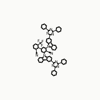 N#Cc1cccc(C(F)(F)F)c1-c1cc(-n2c3ccccc3c3cc(-c4nc(-c5ccccc5)nc(-c5ccccc5)n4)ccc32)c(C#N)c(-n2c3ccccc3c3cc(-c4nc(-c5ccccc5)nc(-c5ccccc5)n4)ccc32)c1